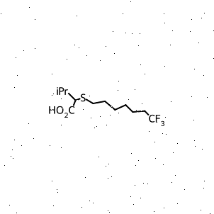 CC(C)C(SCCCCCCC(F)(F)F)C(=O)O